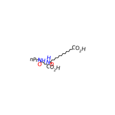 CCCNC(=O)CC[C@H](NC(=O)CCCCCCCCCCCCC(=O)O)C(=O)O